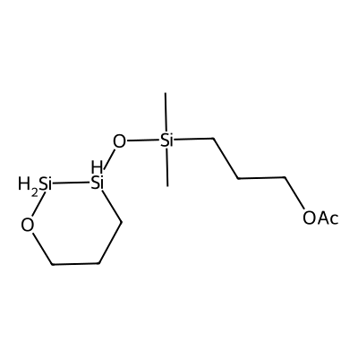 CC(=O)OCCC[Si](C)(C)O[SiH]1CCCO[SiH2]1